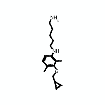 Cc1ccc(NCCCCCN)c(C)c1OCC1CC1